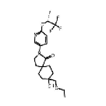 CCOCC1(O)CCC2(CCN(c3ccc(O[C@H](C)C(F)(F)F)nc3)C2=O)CC1